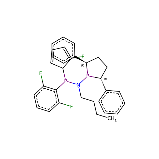 CCCCN(P(c1c(F)cccc1F)C1C=CC=C1F)P1[C@@H](c2ccccc2)CC[C@@H]1c1ccccc1